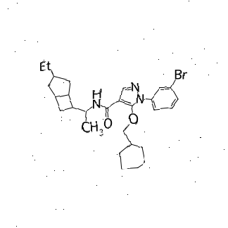 CCC1CC2CC(C(C)NC(=O)c3cnn(-c4cccc(Br)c4)c3OCC3CCCCC3)C2C1